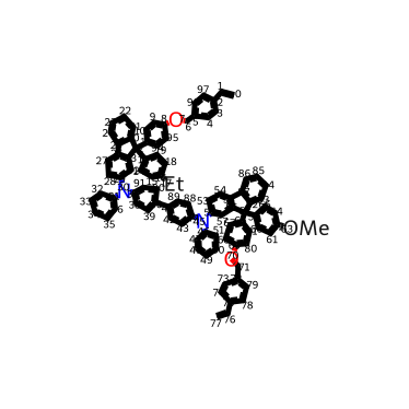 C=Cc1ccc(COc2ccc(C3(c4ccc(CC)cc4)c4ccccc4-c4ccc(N(c5ccccc5)c5ccc(-c6ccc(N(c7ccccc7)c7ccc8c(c7)C(c7ccc(OC)cc7)(c7ccc(OCc9ccc(C=C)cc9)cc7)c7ccccc7-8)cc6)cc5)cc43)cc2)cc1